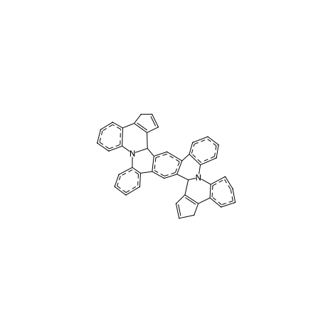 C1=CC2=C(C1)c1ccccc1N1c3ccccc3-c3cc4c(cc3C21)-c1ccccc1N1c2ccccc2C2=C(C=CC2)C41